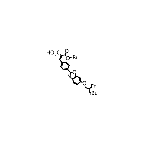 CCCCC(CC)COc1ccc2nc(-c3ccc(C=C(C(=O)O)C(=O)OC(C)CC)cc3)oc2c1